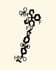 COC(=O)N[C@H]1CCC[C@@H]1[C@](CN1CCC1)(c1cccc(F)c1)C1CCN(CC2(F)CN(c3ccc(S(=O)(=O)c4ccc(C(=O)NC(C)C)cc4)cc3)C2)CC1